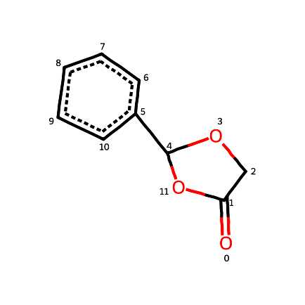 O=C1COC(c2ccccc2)O1